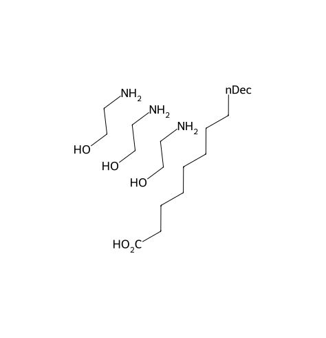 CCCCCCCCCCCCCCCCCC(=O)O.NCCO.NCCO.NCCO